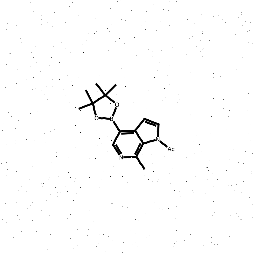 CC(=O)n1ccc2c(B3OC(C)(C)C(C)(C)O3)cnc(C)c21